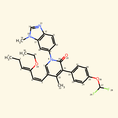 CC/C=C(/C=C\c1cn(-c2ccc3ncn(C)c3c2)c(=O)c(-c2ccc(OC(F)F)cc2)c1C)OCC